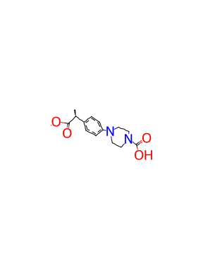 COC(=O)[C@@H](C)c1ccc(N2CCN(C(=O)O)CC2)cc1